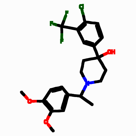 COc1ccc(C(C)N2CCC(O)(c3ccc(Cl)c(C(F)(F)F)c3)CC2)cc1OC